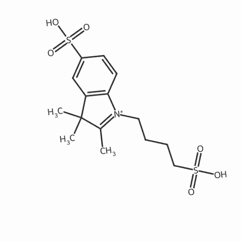 CC1=[N+](CCCCS(=O)(=O)O)c2ccc(S(=O)(=O)O)cc2C1(C)C